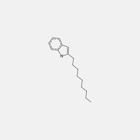 CCCCCCCCCC1=Cc2ccccc2[N]1